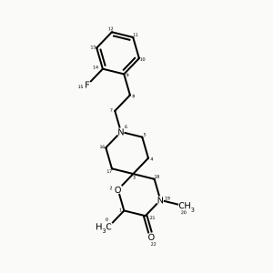 CC1OC2(CCN(CCc3ccccc3F)CC2)CN(C)C1=O